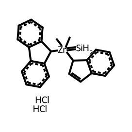 Cl.Cl.[CH3][Zr]([CH3])(=[SiH2])([CH]1C=Cc2ccccc21)[CH]1c2ccccc2-c2ccccc21